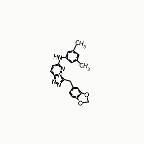 Cc1cc(C)cc(Nc2ccc3nnc(Cc4ccc5c(c4)OCO5)n3n2)c1